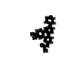 CCC(=O)CN1CCN(c2ccc(N3CCOCC3)cc2C2CCC(CC)(CC)CC2)CC1